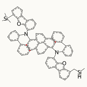 C[SiH](C)Cc1cccc2c1oc1c(N(c3ccccc3-c3ccccc3)c3ccc4ccc5c(N(c6ccccc6-c6ccccc6)c6cccc7c6oc6c([Si](C)(C)C)cccc67)ccc6ccc3c4c65)cccc12